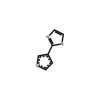 C1=CN=C(c2ccsc2)[N]1